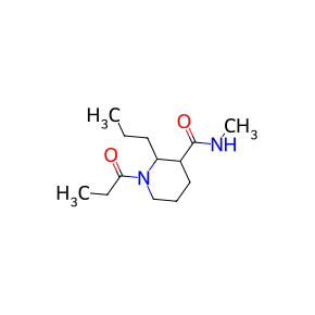 CCCC1C(C(=O)NC)CCCN1C(=O)CC